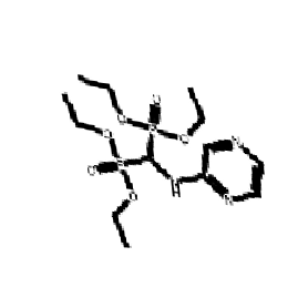 CCOP(=O)(OCC)C(Nc1cnccn1)P(=O)(OCC)OCC